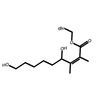 CC(C(=O)OCC(C)(C)C)=C(C)C(O)CCCCCO